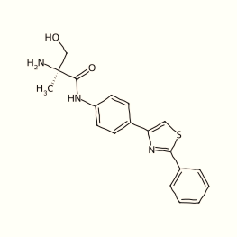 C[C@](N)(CO)C(=O)Nc1ccc(-c2csc(-c3ccccc3)n2)cc1